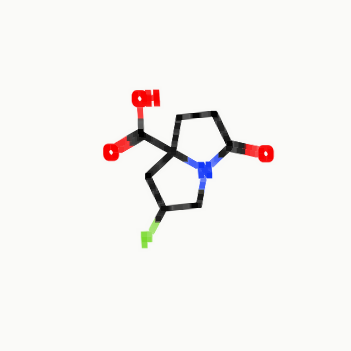 O=C1CCC2(C(=O)O)CC(F)CN12